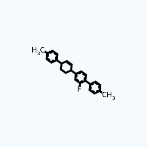 Cc1ccc(-c2ccc(C3C=CC(c4ccc(C)cc4)CC3)cc2F)cc1